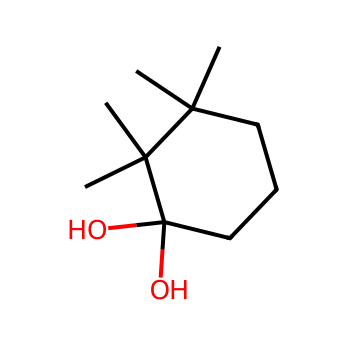 CC1(C)CCCC(O)(O)C1(C)C